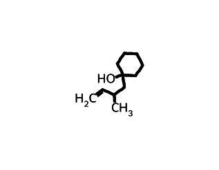 C=CC(C)CC1(O)CCCCC1